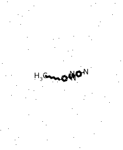 CCCCCCCC[C@H]1CC[C@H](c2cnc([C@H]3CC[C@H](C#N)CC3)nc2)CC1